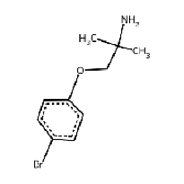 CC(C)(N)COc1ccc(Br)cc1